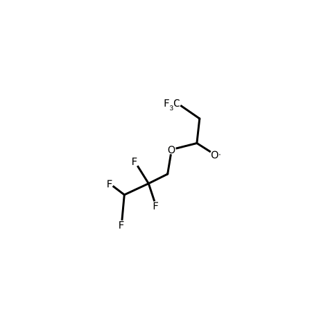 [O]C(CC(F)(F)F)OCC(F)(F)C(F)F